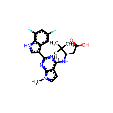 Cn1ccc2c(N[C@H](CC(=O)O)C(C)(C)C)nc(-c3c[nH]c4c(F)cc(F)cc34)nc21